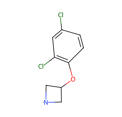 Clc1ccc(OC2C[N]C2)c(Cl)c1